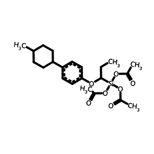 CCC(Oc1ccc(C2CCC(C)CC2)cc1)[Si](OC(C)=O)(OC(C)=O)OC(C)=O